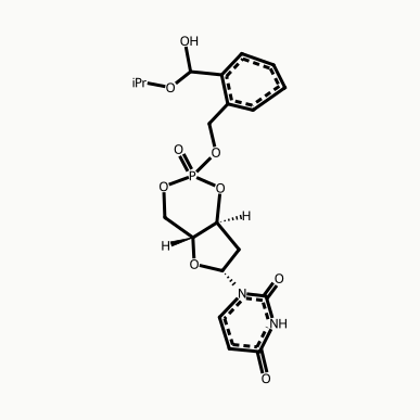 CC(C)OC(O)c1ccccc1COP1(=O)OC[C@H]2O[C@@H](n3ccc(=O)[nH]c3=O)C[C@@H]2O1